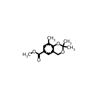 COC(=O)c1cc(C)c2c(c1)COC(C)(C)O2